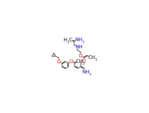 C=C(N)CNCCO/C(=C/C)OCC(/C=C\C(=C)Oc1cccc(OCC2CC2)c1)=C/N